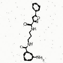 Nc1cccc(C(=O)NCCCNC(=O)c2cc(-c3ccccc3)on2)c1